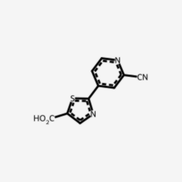 N#Cc1cc(-c2ncc(C(=O)O)s2)ccn1